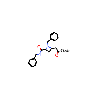 COC(=O)CC1CC(C(=O)NCc2ccccc2)N1Cc1ccccc1